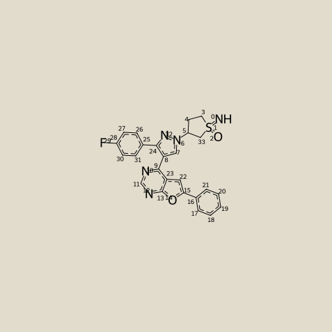 N=S1(=O)CCC(n2cc(-c3ncnc4oc(-c5ccccc5)cc34)c(-c3ccc(F)cc3)n2)C1